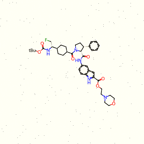 CC(C)(C)OC(=O)N[C@H](CF)C1CCC(C(=O)N2CC[C@H](c3ccccc3)[C@@H]2C(=O)Nc2ccc3[nH]c(C(=O)OCCN4CCOCC4)cc3c2)CC1